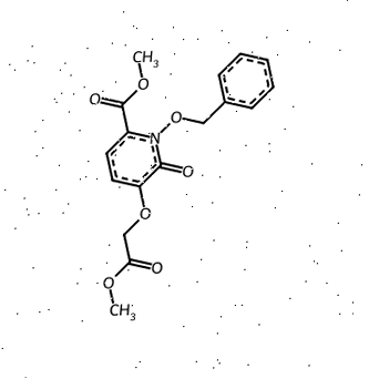 COC(=O)COc1ccc(C(=O)OC)n(OCc2ccccc2)c1=O